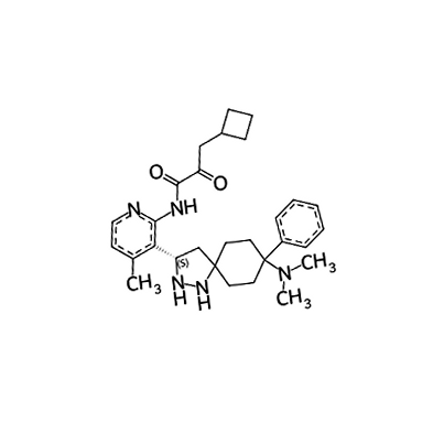 Cc1ccnc(NC(=O)C(=O)CC2CCC2)c1[C@@H]1CC2(CCC(c3ccccc3)(N(C)C)CC2)NN1